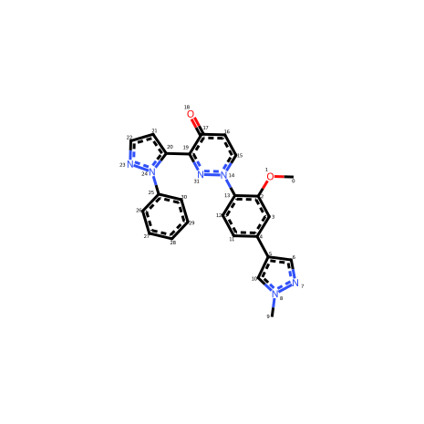 COc1cc(-c2cnn(C)c2)ccc1-n1ccc(=O)c(-c2ccnn2-c2ccccc2)n1